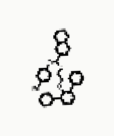 CCC(C)c1ccc(OC(OCCOc2c(-c3ccccc3)cccc2-c2ccccc2)c2ccc3ccccc3c2)cc1